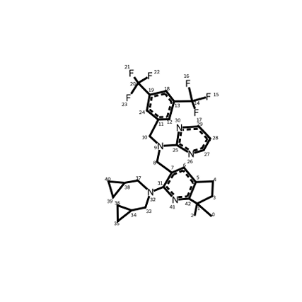 CC1(C)CCc2cc(CN(Cc3cc(C(F)(F)F)cc(C(F)(F)F)c3)c3nc[c]cn3)c(N(CC3CC3)CC3CC3)nc21